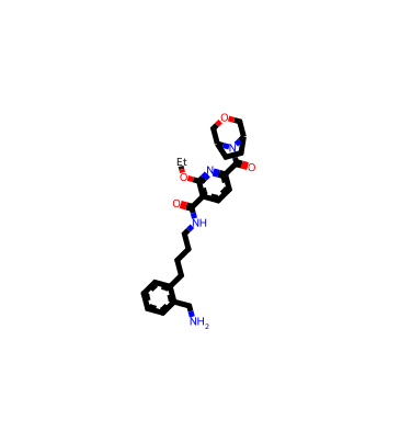 CCOc1nc(C(=O)N2C3CCC2COC3)ccc1C(=O)NCCCCc1ccccc1CN